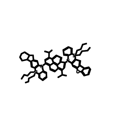 CCCC[Si]1(CCCC)c2ccccc2N(c2cc(C(C)C)c3ccc4c(N5c6ccccc6[Si](CCCC)(CCCC)c6cc7c(cc65)oc5ccccc57)cc(C(C)C)c5ccc2c3c54)c2cc3c(cc21)C1CCCCC1C3